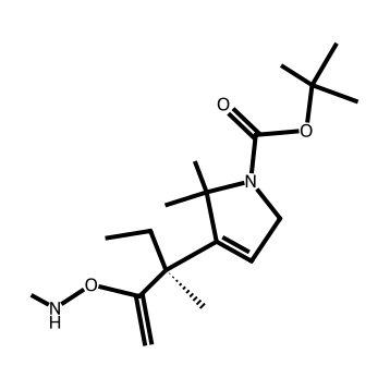 C=C(ONC)[C@@](C)(CC)C1=CCN(C(=O)OC(C)(C)C)C1(C)C